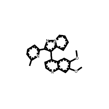 COc1cc2nccc(-c3c(-c4cccc(C)n4)nn4ccccc34)c2cc1OC